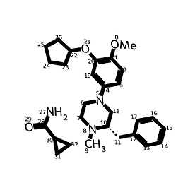 COc1ccc(N2CCN(C)[C@@H](Cc3ccccc3)C2)cc1OC1CCCC1.NC(=O)C1CC1